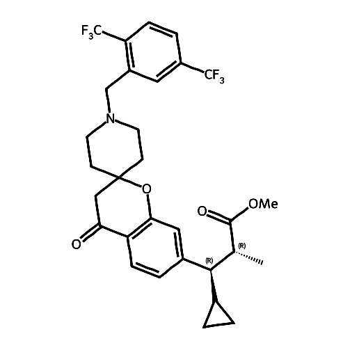 COC(=O)[C@H](C)[C@H](c1ccc2c(c1)OC1(CCN(Cc3cc(C(F)(F)F)ccc3C(F)(F)F)CC1)CC2=O)C1CC1